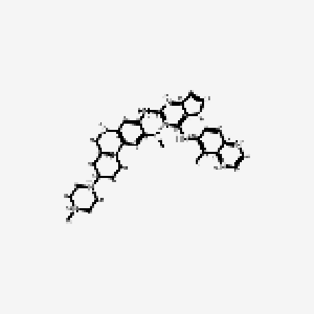 COc1cc2c(cc1Nc1nc(Nc3ccc4nccnc4c3C)c3sccc3n1)OCC1CC(N3CCN(C)CC3)CCN21